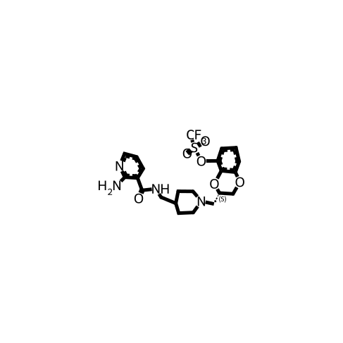 Nc1ncccc1C(=O)NCC1CCN(C[C@H]2COc3cccc(OS(=O)(=O)C(F)(F)F)c3O2)CC1